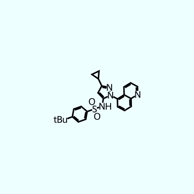 CC(C)(C)c1ccc(S(=O)(=O)Nc2cc(C3CC3)nn2-c2cccc3ncccc23)cc1